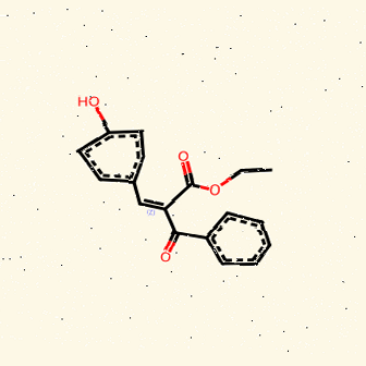 CCOC(=O)/C(=C\c1ccc(O)cc1)C(=O)c1ccccc1